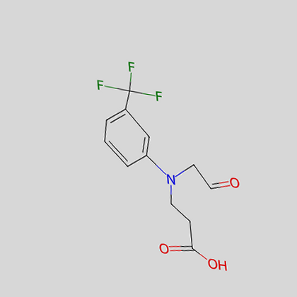 O=CCN(CCC(=O)O)c1cccc(C(F)(F)F)c1